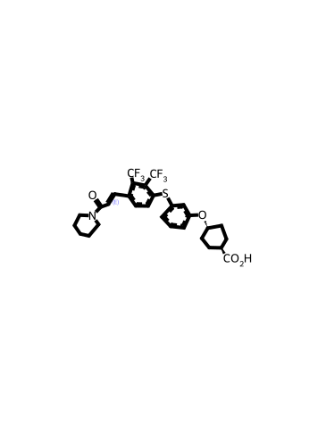 O=C(/C=C/c1ccc(Sc2cccc(O[C@H]3CC[C@H](C(=O)O)CC3)c2)c(C(F)(F)F)c1C(F)(F)F)N1CCCCC1